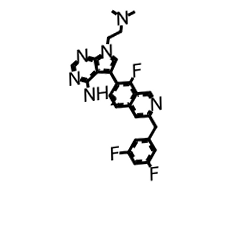 CN(C)CCn1cc(-c2ccc3cc(Cc4cc(F)cc(F)c4)ncc3c2F)c2c(N)ncnc21